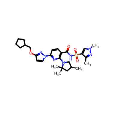 Cc1nn(C)cc1S(=O)(=O)NC(=O)c1ccc(-n2ccc(OCC3CCCC3)n2)nc1N1C[C@@H](C)CC1(C)C